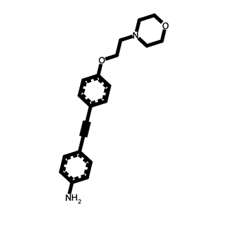 Nc1ccc(C#Cc2ccc(OCCN3CCOCC3)cc2)cc1